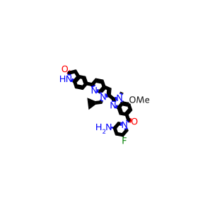 COc1cc(C(=O)N2C[C@H](N)C[C@@H](F)C2)cc2nc(-c3cc4ccc(-c5ccc6c(c5)CC(=O)N6)nc4n3CC3CC3)n(C)c12